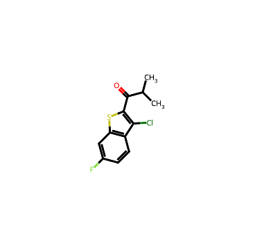 CC(C)C(=O)c1sc2cc(F)ccc2c1Cl